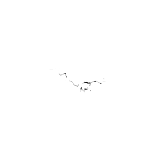 CC(=O)CCc1cn(CCOCCO)nn1